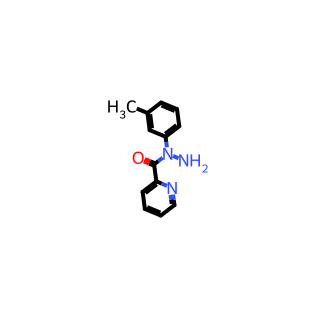 Cc1cccc(N(N)C(=O)c2ccccn2)c1